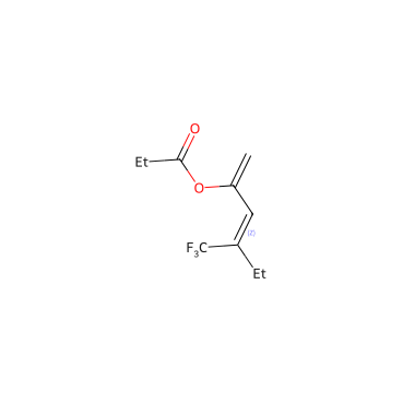 C=C(/C=C(/CC)C(F)(F)F)OC(=O)CC